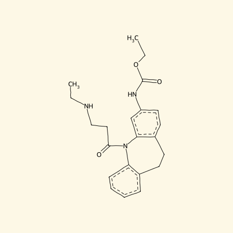 CCNCCC(=O)N1c2ccccc2CCc2ccc(NC(=O)OCC)cc21